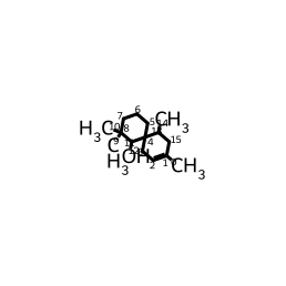 CC1=CCC2(CCCC(C)(C)C2O)C(C)C1